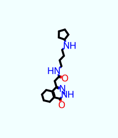 O=C(Cc1n[nH]c(=O)c2c1CCCC2)NCCCCNC1CCCC1